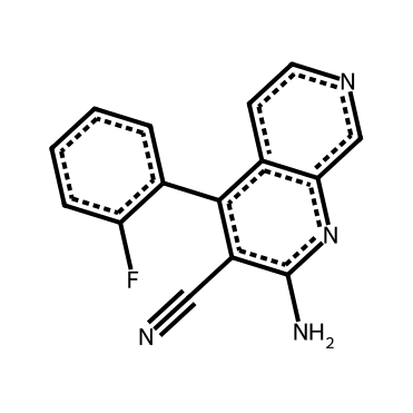 N#Cc1c(N)nc2cnccc2c1-c1ccccc1F